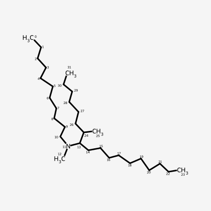 CCCCCCCCCCCN(C)C(CCCCCCCCCC)C(C)CCCCCC